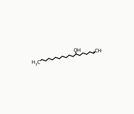 [CH]=CCCCCC(O)CCCCCCCCCCC